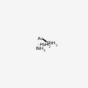 [BiH3].[PbH2].[SbH2][Au]